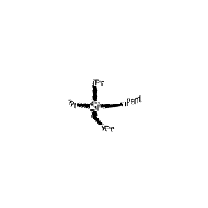 [CH2]CCCC[Si](C(C)C)(C(C)C)C(C)C